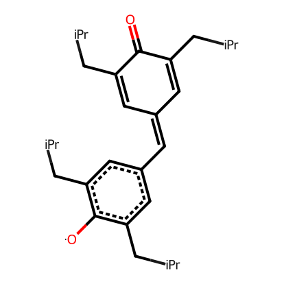 CC(C)CC1=CC(=Cc2cc(CC(C)C)c([O])c(CC(C)C)c2)C=C(CC(C)C)C1=O